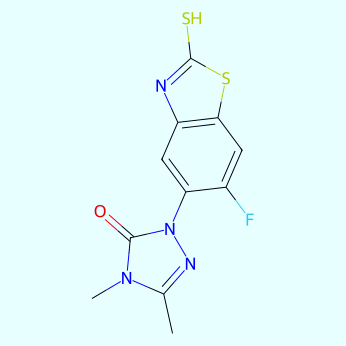 Cc1nn(-c2cc3nc(S)sc3cc2F)c(=O)n1C